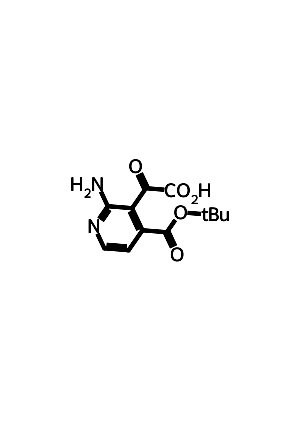 CC(C)(C)OC(=O)c1ccnc(N)c1C(=O)C(=O)O